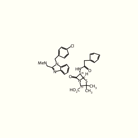 CC1(C)S[C@@H]2[C@H](NC(=O)Cc3ccccc3)C(=O)N2[C@H]1C(=O)O.CNCc1nc2ccccc2n1Cc1ccc(Cl)cc1